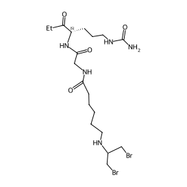 CCC(=O)[C@H](CCCNC(N)=O)NC(=O)CNC(=O)CCCCCNC(CBr)CBr